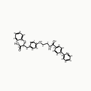 O=C(NCCOc1ccc(CC(Oc2ccccc2)C(=O)O)cc1)c1ccc(-c2ccccn2)cc1